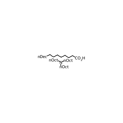 CCCCCCCCCCCCCCCCCC(=O)O.CCCCCCCCN(CCCCCCCC)CCCCCCCC